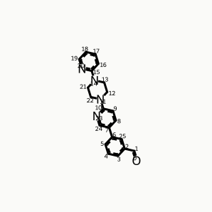 O=Cc1cccc(-c2ccc(N3CCN(c4ccccn4)CC3)nc2)c1